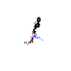 CCOC(=O)CCNC(N)=Nc1cc(CCc2ccc(-c3ccccc3)c(F)c2)no1